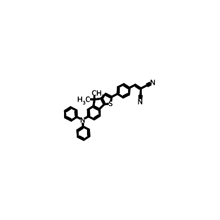 CC1(C)c2cc(N(c3ccccc3)c3ccccc3)ccc2-c2sc(-c3ccc(C=C(C#N)C#N)cc3)cc21